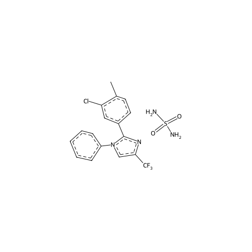 Cc1ccc(-c2nc(C(F)(F)F)cn2-c2ccccc2)cc1Cl.NS(N)(=O)=O